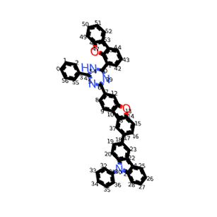 c1ccc(C2=NC(c3ccc4c(c3)oc3ccc(-c5ccc6c(c5)c5ccccc5n6-c5ccccc5)cc34)=NC(c3cccc4c3oc3ccccc34)N2)cc1